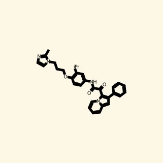 Cc1nccn1CCCOc1ccc(NC(=O)C(=O)c2c(-c3ccccc3)cc3ccccn23)cc1C(C)C